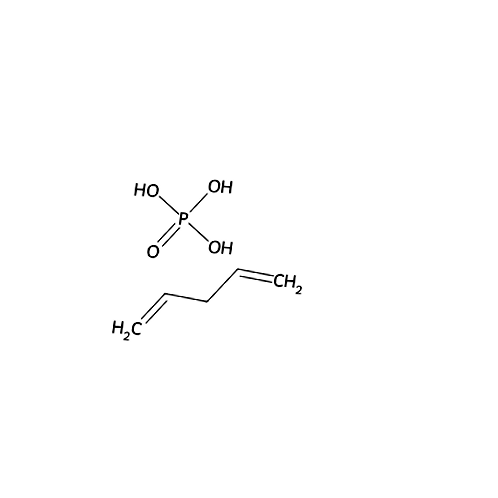 C=CCC=C.O=P(O)(O)O